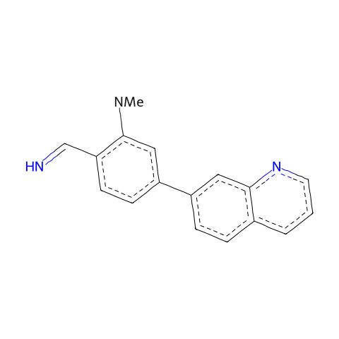 CNc1cc(-c2ccc3cccnc3c2)ccc1C=N